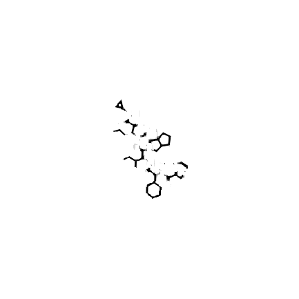 CCC[C@H](NC(=O)[C@@H]1[C@H]2CCCC2CN1C(=O)[C@@H](NC(=O)[C@@H](NC(=O)c1cnccn1)C1CCCCC1)C(C)CC)C(=O)C(=O)NC1CC1